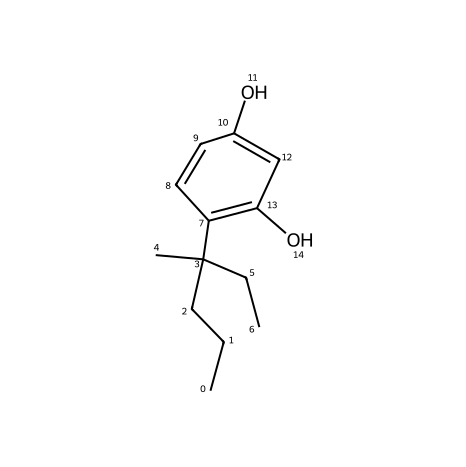 CCCC(C)(CC)c1ccc(O)cc1O